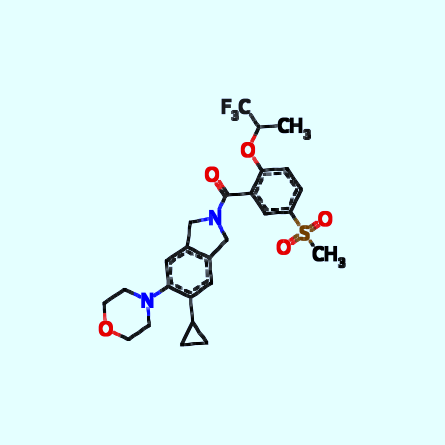 CC(Oc1ccc(S(C)(=O)=O)cc1C(=O)N1Cc2cc(C3CC3)c(N3CCOCC3)cc2C1)C(F)(F)F